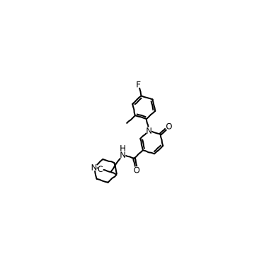 Cc1cc(F)ccc1-n1cc(C(=O)NC2CN3CCC2CC3)ccc1=O